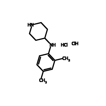 Cc1ccc(NC2CCNCC2)c(C)c1.Cl.Cl